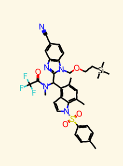 Cc1ccc(S(=O)(=O)n2ccc3c(C(c4nc5cc(C#N)ccc5n4COCC[Si](C)(C)C)N(C)C(=O)C(F)(F)F)c(C)cc(C)c32)cc1